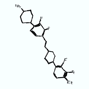 CCCC1CCC(c2ccc(CCC3CCC(c4ccc(CC)c(F)c4F)CC3)c(F)c2F)CC1